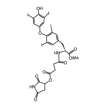 COC(=O)[C@H](Cc1cc(I)c(Oc2cc(I)c(O)c(I)c2)c(I)c1)NC(=O)CCC(=O)OC1CC(=O)NC1=O